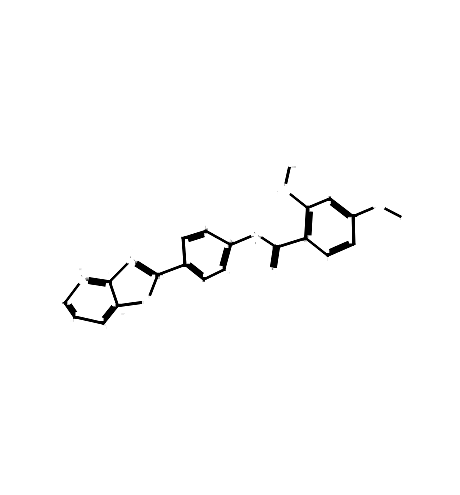 COc1ccc(C(=O)Nc2ccc(-c3nc4ncccc4o3)cc2)c(OC)c1